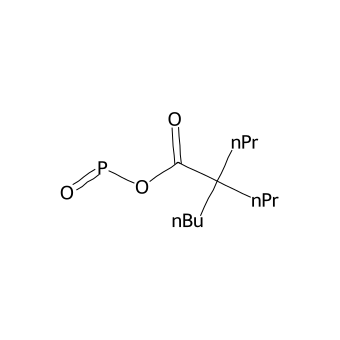 CCCCC(CCC)(CCC)C(=O)OP=O